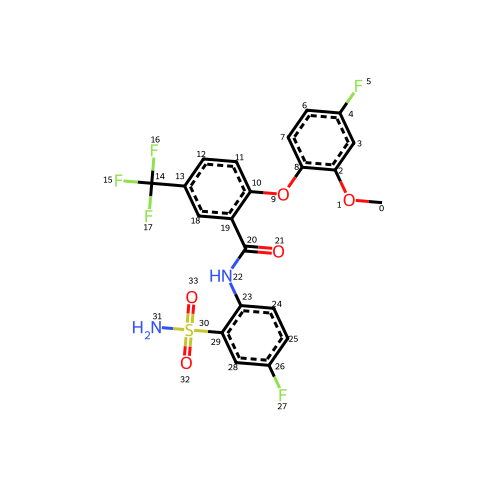 COc1cc(F)ccc1Oc1ccc(C(F)(F)F)cc1C(=O)Nc1ccc(F)cc1S(N)(=O)=O